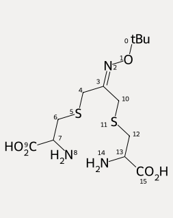 CC(C)(C)ON=C(CSCC(N)C(=O)O)CSCC(N)C(=O)O